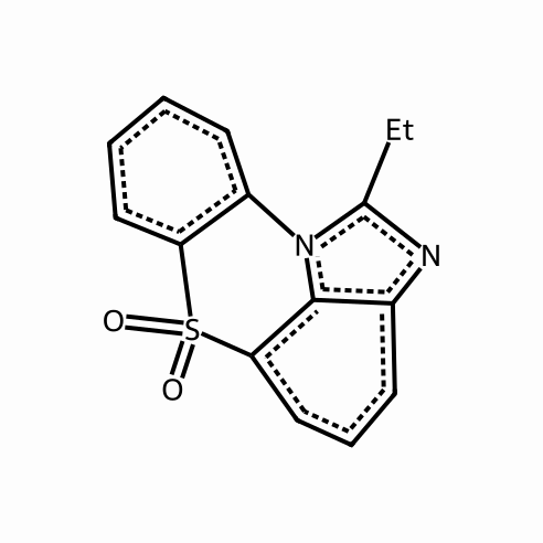 CCc1nc2cccc3c2n1-c1ccccc1S3(=O)=O